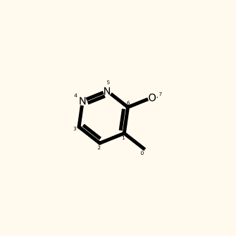 Cc1ccnnc1[O]